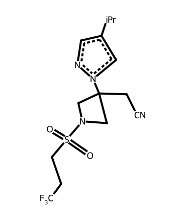 CC(C)c1cnn(C2(CC#N)CN(S(=O)(=O)CCC(F)(F)F)C2)c1